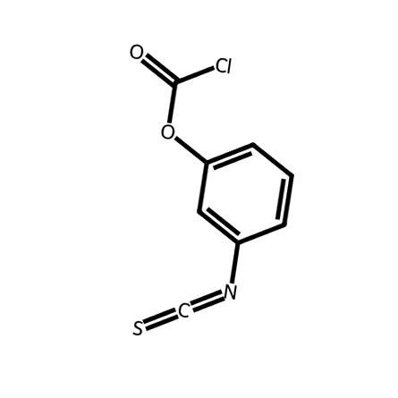 O=C(Cl)Oc1cccc(N=C=S)c1